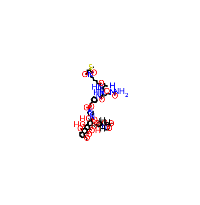 COc1cccc2c1C(=O)c1c(O)c3c(c(O)c1C2=O)C[C@@](O)(C(=O)N1CCN(C(=O)OCc2ccc(NC(=O)[C@H](CCCNC(N)=O)NC(=O)[C@@H](NC(=O)CCCCCN4C(=O)CC(SC)C4=O)C(C)C)cc2)CC1)C[C@@H]3O[C@H]1C[C@H]2[C@H](O[C@@H]3[C@@H](OC)OCCN32)[C@H](C)O1